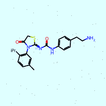 Cc1ccc(C(C)C)c(N2C(=O)CS/C2=N\C(=O)Nc2ccc(CCN)cc2)c1